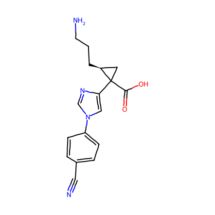 N#Cc1ccc(-n2cnc(C3(C(=O)O)C[C@@H]3CCCN)c2)cc1